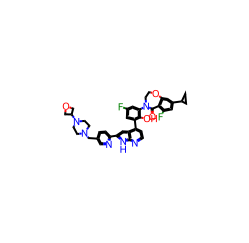 O=C1c2c(F)cc(C3CC3)cc2OCCN1c1cc(F)cc(-c2ccnc3[nH]c(-c4ccc(CN5CCN(C6COC6)CC5)cn4)cc23)c1O